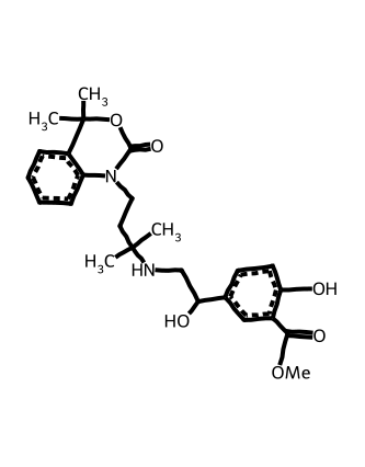 COC(=O)c1cc(C(O)CNC(C)(C)CCN2C(=O)OC(C)(C)c3ccccc32)ccc1O